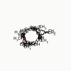 CCCCCCC[C@H]1O[C@@H]2O[C@@H]3[C@@H](O)[C@H](OO[SiH](O)CC[Si](O)(O)O[C@@H]4[C@@H](O[C@@H]5[C@@H](O)[C@H](O[Si](O)(O)CC[SiH](O)OO[C@H]2[C@H](O)[C@H]1OC)[C@@H](OC)O[C@@H]5CC)O[C@H](CC)[C@H](OC)[C@H]4O)[C@@H](OC)O[C@@H]3CCCCCCC